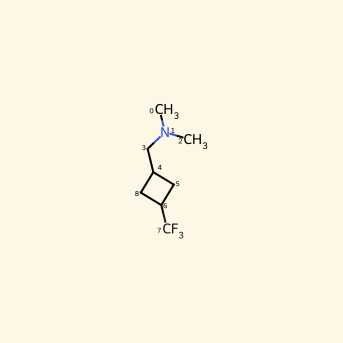 CN(C)CC1CC(C(F)(F)F)C1